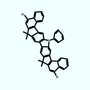 CC1(C)c2cc3c4cc5c(cc4n(-c4ccccc4)c3cc2-c2c1cc(Br)c1ccccc21)-c1c(cc(Br)c2ccccc12)C5(C)C